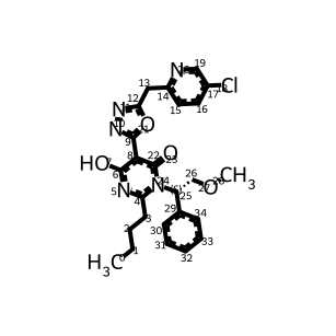 CCCCc1nc(O)c(-c2nnc(Cc3ccc(Cl)cn3)o2)c(=O)n1[C@H](COC)c1ccccc1